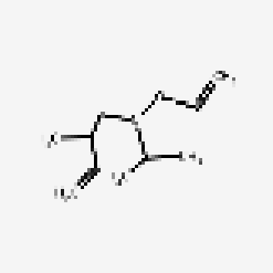 C=CON(CC(C)C=C)C(C)C